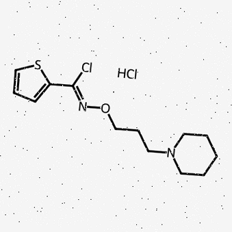 Cl.ClC(=NOCCCN1CCCCC1)c1cccs1